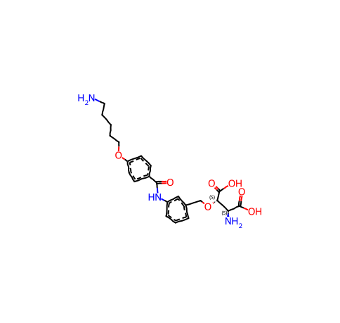 NCCCCCOc1ccc(C(=O)Nc2cccc(CO[C@H](C(=O)O)[C@H](N)C(=O)O)c2)cc1